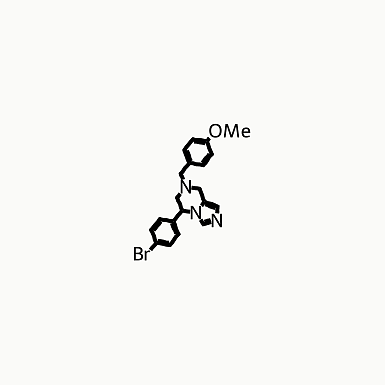 COc1ccc(CN2Cc3cncn3C(c3ccc(Br)cc3)C2)cc1